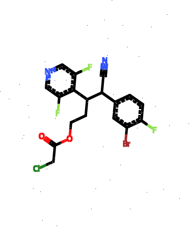 N#CC(c1ccc(F)c(Br)c1)C(CCOC(=O)CCl)c1c(F)cncc1F